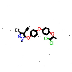 C#Cc1c(CC)nn(C)c1Oc1ccc(Oc2ccc(OC(C)=C(Cl)Cl)cc2)cc1